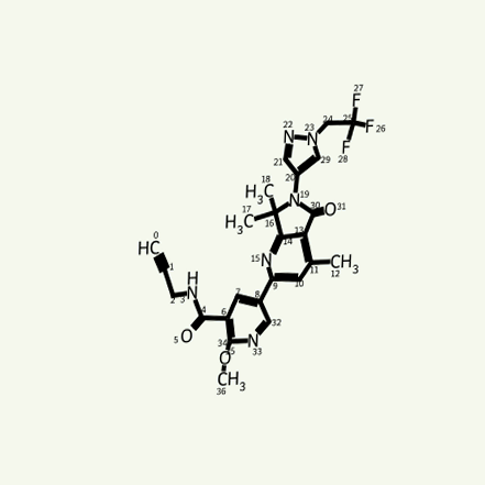 C#CCNC(=O)c1cc(-c2cc(C)c3c(n2)C(C)(C)N(c2cnn(CC(F)(F)F)c2)C3=O)cnc1OC